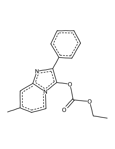 CCOC(=O)Oc1c(-c2ccccc2)nc2cc(C)ccn12